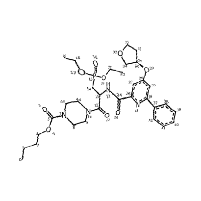 CCCCOC(=O)N1CCN(C(=O)C(CP(=O)(OCC)OCC)NC(=O)c2cc(O[C@@H]3CCOC3)cc(-c3ccccc3)n2)CC1